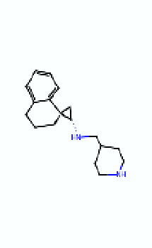 c1ccc2c(c1)CCC[C@]21C[C@@H]1NCC1CCNCC1